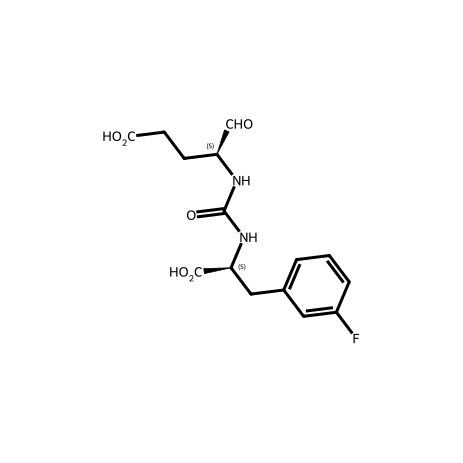 O=C[C@H](CCC(=O)O)NC(=O)N[C@@H](Cc1cccc(F)c1)C(=O)O